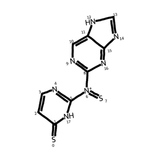 S=c1ccnc([N+](=S)c2ncc3[nH]cnc3n2)[nH]1